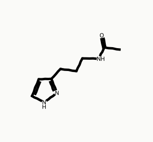 CC(=O)NCCCc1cc[nH]n1